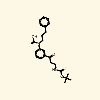 CC(C)(C)OC(=O)NCCC(=O)c1cccc(N(CCCc2ccccc2)C(=O)O)c1